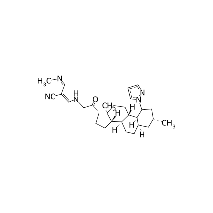 C/N=C\C(C#N)=C/NCC(=O)[C@H]1CC[C@H]2[C@@H]3CC[C@@H]4C[C@@H](C)CC(n5cccn5)[C@@H]4[C@H]3CC[C@]12C